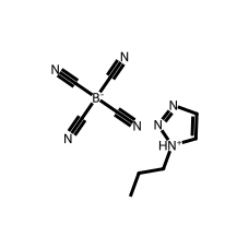 CCC[NH+]1C=CN=N1.N#C[B-](C#N)(C#N)C#N